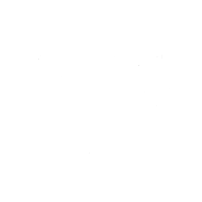 COc1cccc(C2c3cc(I)ccc3CC2(C)C(=O)O)c1